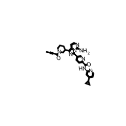 CC#CC(=O)N1CCCC(c2nc(-c3ccc(C(=O)Nc4cc(C5CC5)ccn4)nc3)n3c(N)nccc23)C1